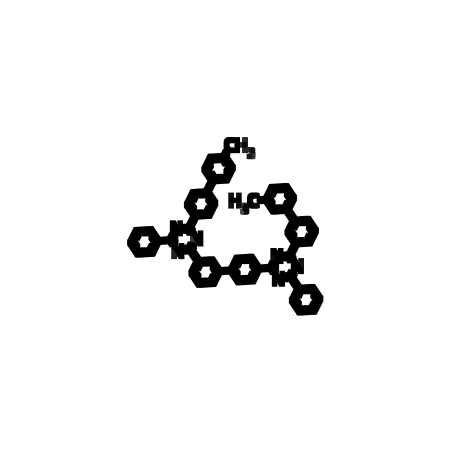 Cc1ccc(-c2ccc(-c3nc(-c4ccccc4)nc(-c4cccc(-c5ccc(-c6nc(-c7ccccc7)nc(-c7cccc(-c8cccc(C)c8)c7)n6)cc5)c4)n3)cc2)cc1